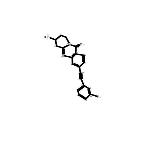 CC1CCn2c(nc3cc(C#Cc4cccc(F)c4)ccc3c2=O)C1